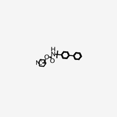 CC(C)(NC(=O)OC1CN2CCC1CC2)c1ccc(-c2ccccc2)cc1